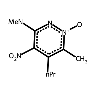 CCCc1c([N+](=O)[O-])c(NC)n[n+]([O-])c1C